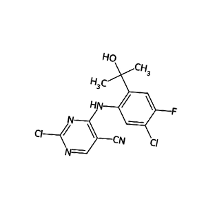 CC(C)(O)c1cc(F)c(Cl)cc1Nc1nc(Cl)ncc1C#N